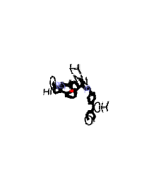 O=C1NCC(c2ccccc2)/C1=C\c1ccc2c(/C=C/c3ccc(C(O)C4CCOCC4)cc3)n[nH]c2c1